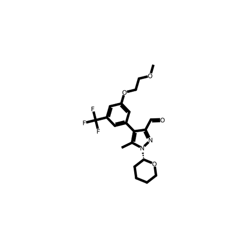 COCCOc1cc(-c2c(C=O)nn([C@H]3CCCCO3)c2C)cc(C(F)(F)F)c1